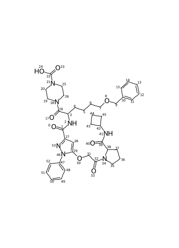 O=C(NC(CCCCOCc1ccccc1)C(=O)N1CCN(C(=O)O)CC1)c1cc(OCC(=O)N2CCCC2C(=O)NC2CCC2)n(-c2ccccc2)n1